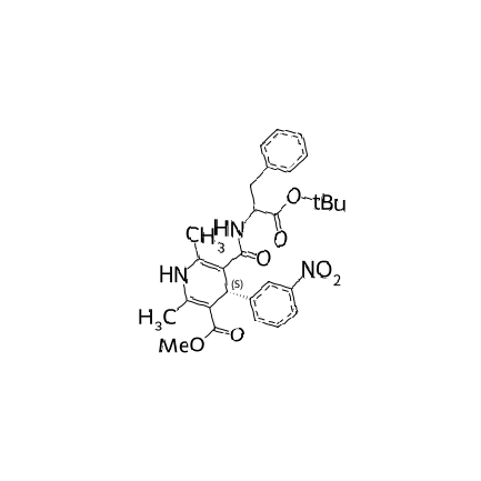 COC(=O)C1=C(C)NC(C)=C(C(=O)NC(Cc2ccccc2)C(=O)OC(C)(C)C)[C@@H]1c1cccc([N+](=O)[O-])c1